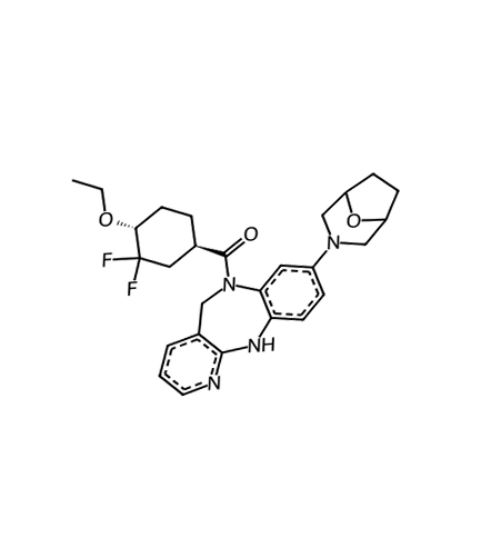 CCO[C@@H]1CC[C@@H](C(=O)N2Cc3cccnc3Nc3ccc(N4CC5CCC(C4)O5)cc32)CC1(F)F